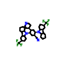 N#Cc1cc(-n2c3ccccc3c3cc(C(F)(F)F)ccc32)c(-c2ccncc2)cc1-n1c2ccccc2c2cc(C(F)(F)F)ccc21